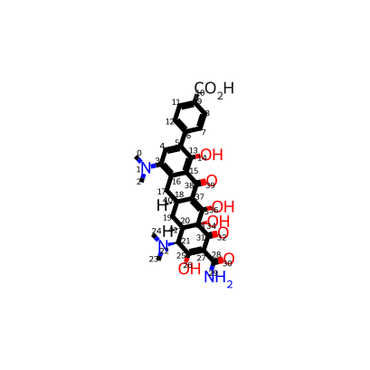 CN(C)c1cc(-c2ccc(C(=O)O)cc2)c(O)c2c1C[C@@H]1C[C@@H]3[C@H](N(C)C)C(O)=C(C(N)=O)C(=O)[C@@]3(O)C(O)=C1C2=O